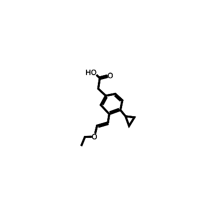 CCO/C=C/c1cc(CC(=O)O)ccc1C1CC1